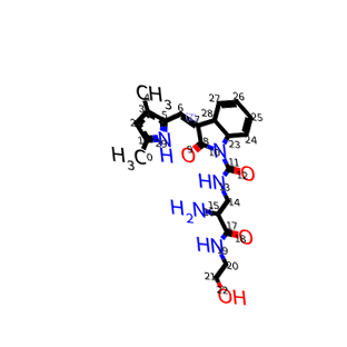 Cc1cc(C)c(/C=C2\C(=O)N(C(=O)NCC(N)C(=O)NCCO)C3C=CC=CC23)[nH]1